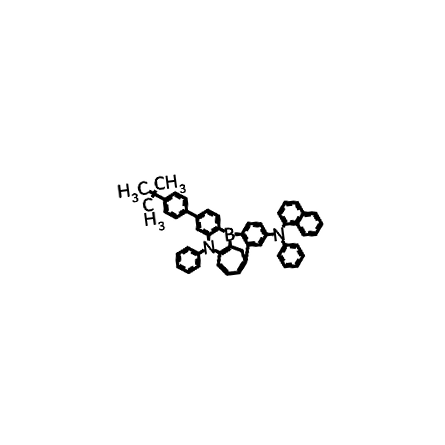 CC(C)(C)c1ccc(-c2ccc3c(c2)N(c2ccccc2)C2=C4CC(=CC=C2)c2cc(N(c5ccccc5)c5cccc6ccccc56)ccc2B43)cc1